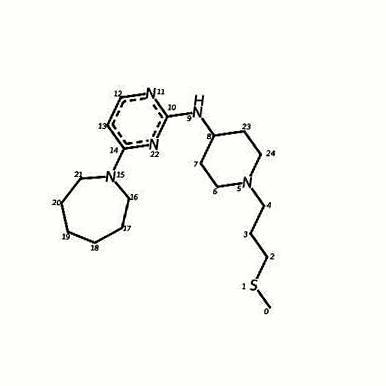 CSCCCN1CCC(Nc2nccc(N3CCCCCC3)n2)CC1